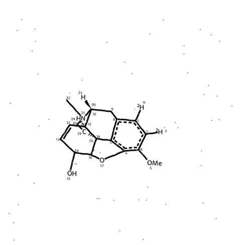 [2H]c1c([2H])c(OC)c2c3c1C[C@@H]1[C@@H]4C=CC(O)C(O2)[C@]34CCN1C